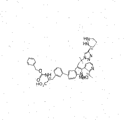 CCn1c(-c2cccnc2[C@H](C)OC)c(CC(C)(C)n2cc([C@@H]3CCCNN3)nn2)c2cc(-c3cccc(C[C@H](NC(=O)OCc4ccccc4)C(=O)O)c3)ccc21